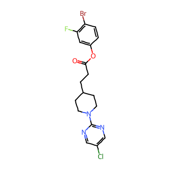 O=C(CCC1CCN(c2ncc(Cl)cn2)CC1)Oc1ccc(Br)c(F)c1